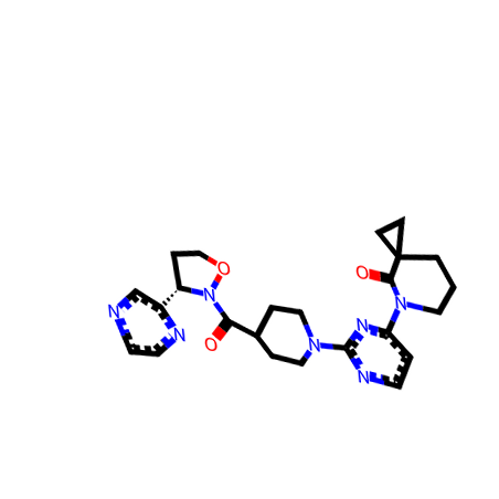 O=C(C1CCN(c2nccc(N3CCCC4(CC4)C3=O)n2)CC1)N1OCC[C@H]1c1cnccn1